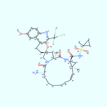 COc1ccc2nc(C(F)(F)F)c3c(c2c1)CC[C@]1(C[C@H]2C(=O)N[C@]4(C(=O)NS(=O)(=O)C5(C)CC5)C[C@H]4C=CCCCCC[C@H](N)C(=O)N2C1)O3